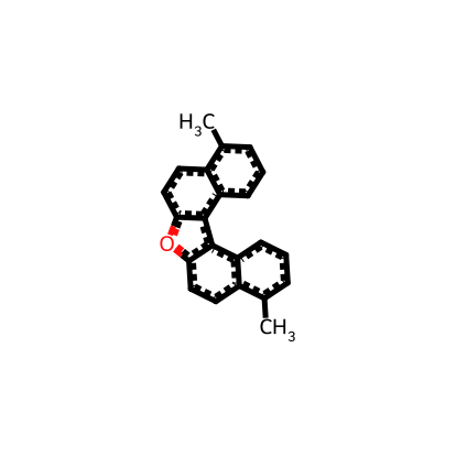 Cc1cccc2c1ccc1oc3ccc4c(C)cccc4c3c12